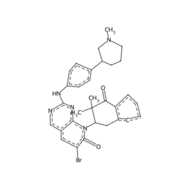 CN1CCCC(c2ccc(Nc3ncc4cc(Br)c(=O)n(C5Cc6ccccc6C(=O)C5(C)C)c4n3)cc2)C1